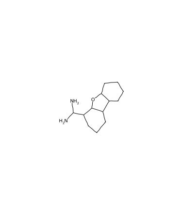 NC(N)C1CCCC2C3CCCCC3OC12